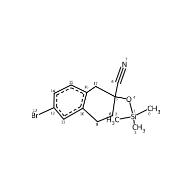 C[Si](C)(C)OC1(C#N)CCc2cc(Br)ccc2C1